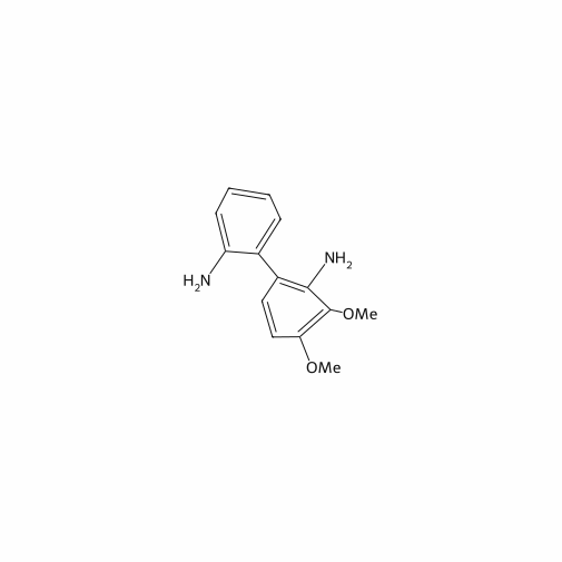 COc1ccc(-c2ccccc2N)c(N)c1OC